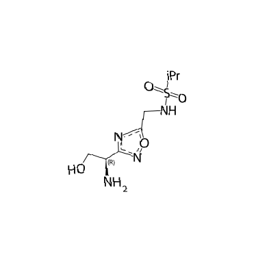 CC(C)S(=O)(=O)NCc1nc([C@@H](N)CO)no1